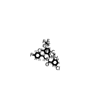 CCNc1ccc(Cl)cc1C(=O)N(CCc1ccc(F)cc1)Cc1ccc(OC(F)(F)F)c(Cl)c1